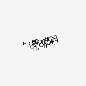 CC(C)(C)NC(=O)C1CC[C@H]2[C@@H]3CC=C4NC(=O)CC[C@]4(C)[C@@H]3CC[C@]12C